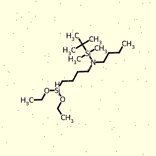 CCCCN(CCCC[SiH](OCC)OCC)[Si](C)(C)C(C)(C)C